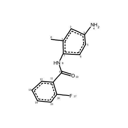 Cc1cc(N)ccc1NC(=O)c1ccccc1F